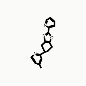 Cc1ccnc(C2CCc3oc(-c4ccccn4)nc3C2)c1